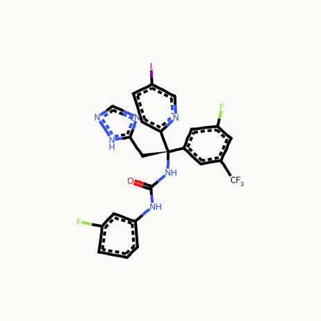 O=C(Nc1cccc(F)c1)N[C@@](Cc1ncn[nH]1)(c1cc(F)cc(C(F)(F)F)c1)c1ccc(I)cn1